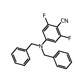 N#Cc1c(F)cc(N(Cc2ccccc2)Cc2ccccc2)cc1F